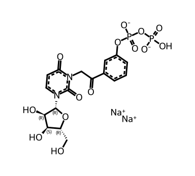 O=C(Cn1c(=O)ccn([C@@H]2O[C@H](CO)[C@@H](O)[C@H]2O)c1=O)c1cccc(OP(=O)([O-])OP(=O)([O-])O)c1.[Na+].[Na+]